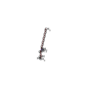 CCOCCOCCOCCOCCOCCOCCOCCOCCOCCN(N)/C=C(\N)CNC(=O)OCc1ccc(NC(=O)CNC)cc1